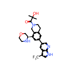 CC(C)(O)C(=O)N1CCc2cc(-c3cnc4[nH]cc(C(F)(F)F)c4c3)cc([C@@H]3COCCN3)c2C1